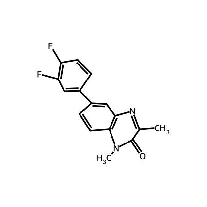 Cc1nc2cc(-c3ccc(F)c(F)c3)ccc2n(C)c1=O